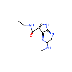 CCNC(=O)c1c[nH]c2c1=NC(NC)CN=2